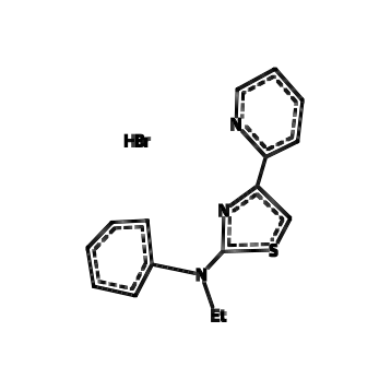 Br.CCN(c1ccccc1)c1nc(-c2ccccn2)cs1